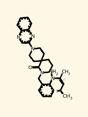 C/C(=C/C(C)I)N(N)c1ccccc1CN1CCCC2(CCN(c3cnc4ccccc4n3)CC2)C1=O